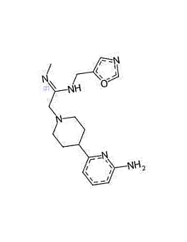 C/N=C(/CN1CCC(c2cccc(N)n2)CC1)NCc1cnco1